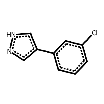 Clc1cccc(-c2cn[nH]c2)c1